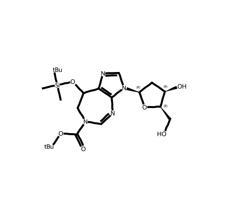 CC(C)(C)OC(=O)N1C=Nc2c(ncn2[C@H]2C[C@@H](O)[C@@H](CO)O2)C(O[Si](C)(C)C(C)(C)C)C1